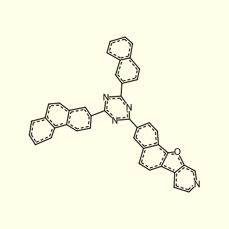 c1ccc2cc(-c3nc(-c4ccc5c(ccc6ccccc65)c4)nc(-c4ccc5c(ccc6c7ccncc7oc56)c4)n3)ccc2c1